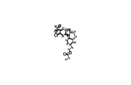 CCC(=O)OCCc1ccc(-n2c(CC)nc3cc(S(C)(=O)=O)c(Cl)cc32)cc1